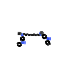 CC(C)N(CCCCCCCCCCN(c1ccc(Nc2ccccc2)cc1)C(C)C)c1ccc(NC2=CCCC=C2)cc1